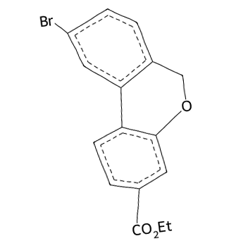 CCOC(=O)c1ccc2c(c1)OCc1ccc(Br)cc1-2